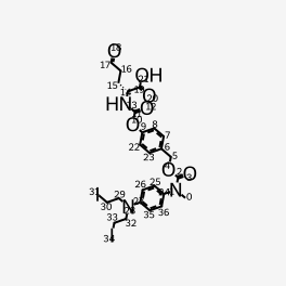 CN(C(=O)OCc1ccc(OC(=O)N[C@H](CCC=O)C(=O)O)cc1)c1ccc(N(CCI)CCI)cc1